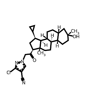 C[C@@]1(O)CC[C@H]2[C@H](CC[C@@H]3[C@@H]2CC[C@@]2(C)[C@H]3[C@H](C3CC3)C[C@@H]2C(=O)Cn2cc(C#N)c(Cl)n2)C1